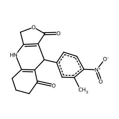 Cc1cc(C2C3=C(CCCC3=O)NC3=C2C(=O)OC3)ccc1[N+](=O)[O-]